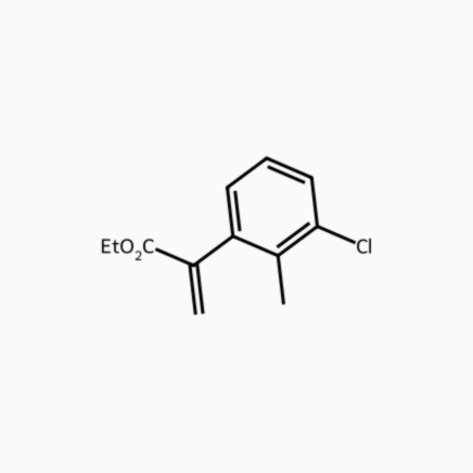 C=C(C(=O)OCC)c1cccc(Cl)c1C